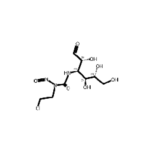 O=C[C@H](O)[C@H](NC(=O)N(CCCl)N=O)[C@H](O)[C@H](O)CO